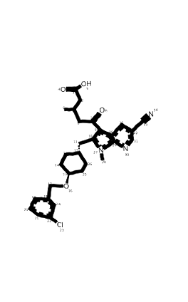 CC(CC(=O)O)CC(=O)c1c(C[C@H]2CC[C@H](OCc3cccc(Cl)c3)CC2)n(C)c2ncc(C#N)cc12